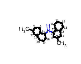 Cc1ccc2c(Nc3cc(C)cc4ccccc34)cccc2c1